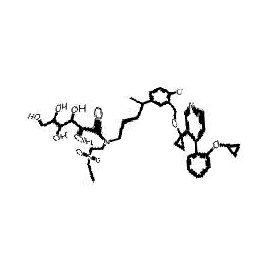 CCS(=O)(=O)CCN(CCCC(C)c1ccc(Cl)c(COC2(c3cnccc3-c3ccccc3OC3CC3)CC2)c1)C(=O)C(O)C(O)C(O)C(O)CO